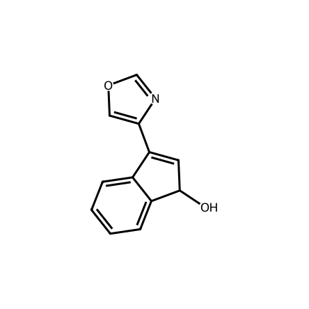 OC1C=C(c2cocn2)c2ccccc21